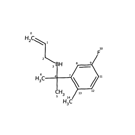 C=CCBC(C)(C)c1cc(F)ccc1C